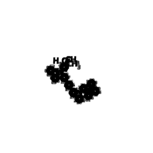 CC(C)(C)c1ccc(N(c2ccc(-c3ccc(-c4ccc5c6ccccc6n(-c6ccc7c(c6)C(c6ccccc6)(c6ccccc6)c6ccccc6-7)c5c4)cc3)cc2)c2cc3ccccc3c3ccccc23)cc1